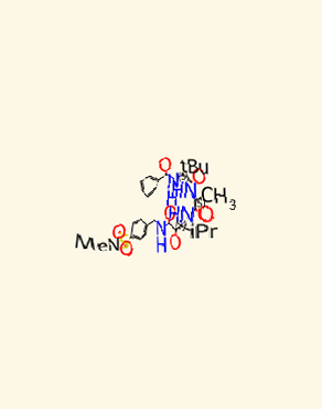 CNS(=O)(=O)c1ccc(CNC(=O)C(=O)[C@@H](NC(=O)[C@H](C)NC(=O)[C@@H](NC(=O)c2ccccc2)C(C)(C)C)C(C)C)cc1